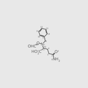 NC(=O)CC[C@@H](C(=O)O)N(Cc1ccccc1)OC=O